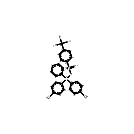 O=S(=O)(OS(c1ccccc1)(c1ccc(O)cc1)c1ccc(O)cc1)c1ccc(C(F)(F)F)cc1